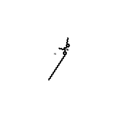 CCCCCCCCCCCCCCCCCCCCCCCc1ccc(C2=C(CCCC)C=C(c3cccc(CCCCC)c3)[N+]2=[N-])cc1.[Ni]